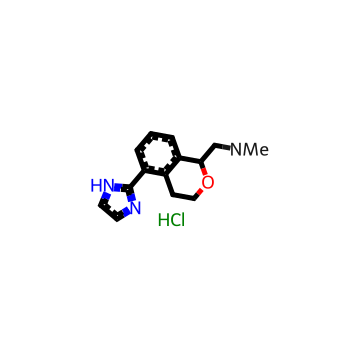 CNCC1OCCc2c(-c3ncc[nH]3)cccc21.Cl